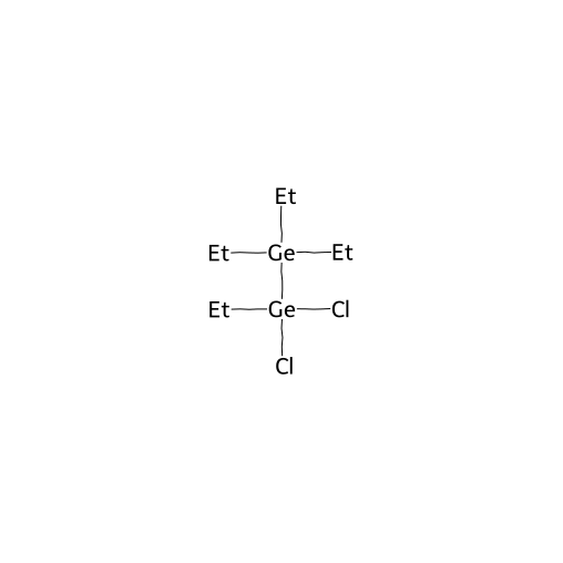 C[CH2][Ge]([Cl])([Cl])[Ge]([CH2]C)([CH2]C)[CH2]C